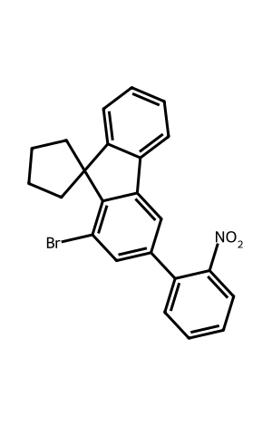 O=[N+]([O-])c1ccccc1-c1cc(Br)c2c(c1)-c1ccccc1C21CCCC1